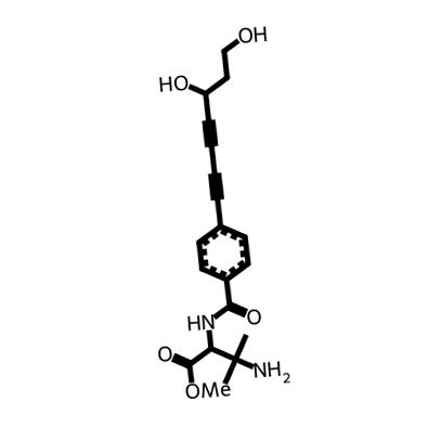 COC(=O)C(NC(=O)c1ccc(C#CC#CC(O)CCO)cc1)C(C)(C)N